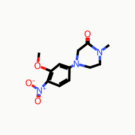 COc1cc(N2CCN(C)C(=O)C2)ccc1[N+](=O)[O-]